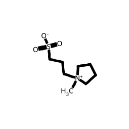 C[N+]1(CCCS(=O)(=O)[O-])CCCC1